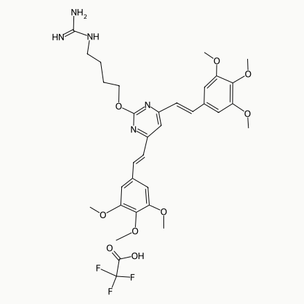 COc1cc(C=Cc2cc(C=Cc3cc(OC)c(OC)c(OC)c3)nc(OCCCCNC(=N)N)n2)cc(OC)c1OC.O=C(O)C(F)(F)F